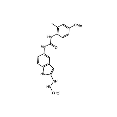 COc1ccc(NC(=O)Nc2ccc3[nH]c(NNC=O)cc3c2)c(C)c1